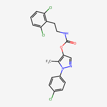 O=C(NCCc1c(Cl)cccc1Cl)Oc1cnn(-c2ccc(Cl)cc2)c1C(F)(F)F